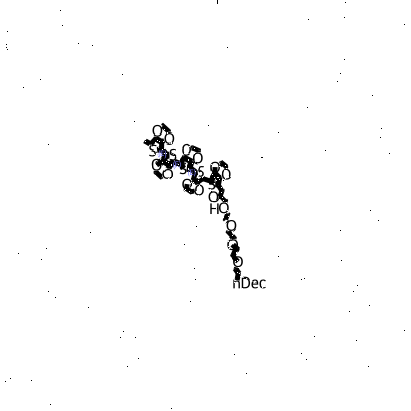 CCCCCCCCCCCCOCCOCCOCCOCC(O)Cc1sc(C2S/C(=c3/s/c(=c4/s/c(=C5/SC(C)C6=C5OCCO6)c5c4OCCO5)c4c3OCCO4)C3=C2OCCO3)c2c1OCCO2